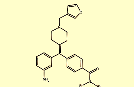 CC(C)N(C(=O)c1ccc(C(=C2CCN(Cc3ccoc3)CC2)c2cccc(N)c2)cc1)C(C)C